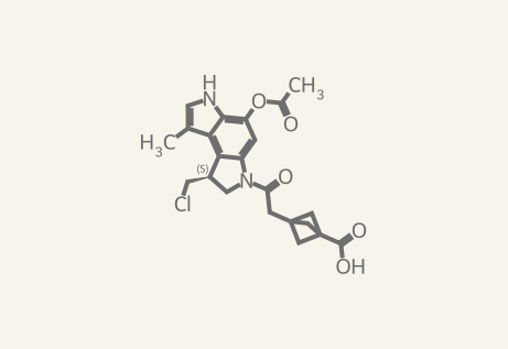 CC(=O)Oc1cc2c(c3c(C)c[nH]c13)[C@H](CCl)CN2C(=O)CC12CC(C(=O)O)(C1)C2